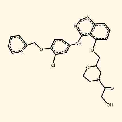 O=C(CO)N1CCOC(COc2cccc3ncnc(Nc4ccc(OCc5ccccn5)c(Cl)c4)c23)C1